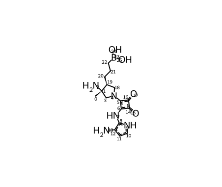 C[C@]1(N)CN(c2c(Nc3[nH]ccc3N)c(=O)c2=O)C[C@@H]1CCCB(O)O